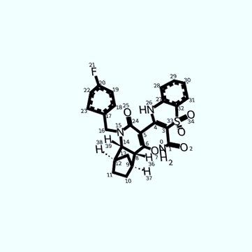 NC(=O)C1=C(C2=C(O)[C@@H]3[C@H]4CC[C@H](C4)[C@@H]3N(Cc3ccc(F)cc3)C2=O)Nc2cc[c]cc2S1(=O)=O